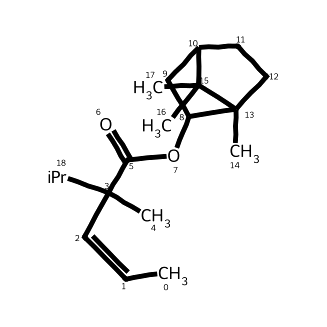 C/C=C\C(C)(C(=O)OC1CC2CCC1(C)C2(C)C)C(C)C